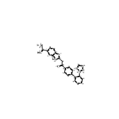 N=C(N)c1ccc2nc(CC(=O)c3ccc(-c4ccccc4-n4ncnn4)cc3)[nH]c2c1